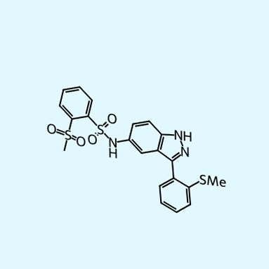 CSc1ccccc1-c1n[nH]c2ccc(NS(=O)(=O)c3ccccc3S(C)(=O)=O)cc12